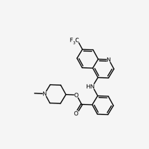 CN1CCC(OC(=O)c2ccccc2Nc2ccnc3cc(C(F)(F)F)ccc23)CC1